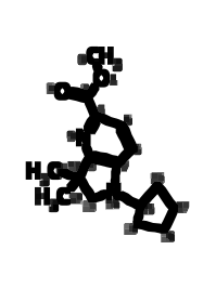 COC(=O)c1ccc2c(n1)C(C)(C)CN2C1CCCC1